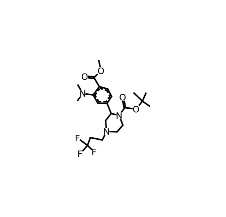 COC(=O)c1ccc(C2CN(CCC(F)(F)F)CCN2C(=O)OC(C)(C)C)cc1N(C)C